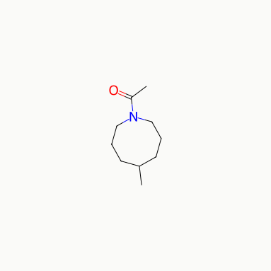 CC(=O)N1CCCC(C)CCC1